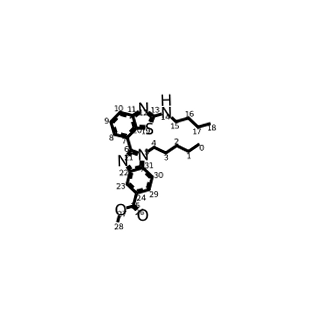 CCCCCn1c(-c2cccc3nc(NCCCC)sc23)nc2cc(C(=O)OC)ccc21